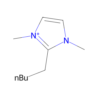 CCCCCc1n(C)cc[n+]1C